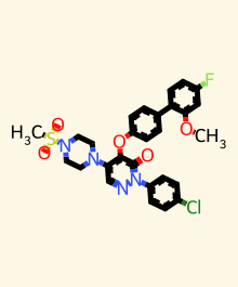 COc1cc(F)ccc1-c1ccc(Oc2c(N3CCN(S(C)(=O)=O)CC3)cnn(-c3ccc(Cl)cc3)c2=O)cc1